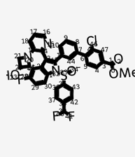 COC(=O)c1ccc(-c2cccc(-c3c(-c4ncccc4N4CC(O)C4)c4cc(F)ccc4n3[S+]([O-])c3ccc(C(F)F)cc3)c2)c(Cl)c1